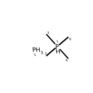 C[PH](C)(C)C.P